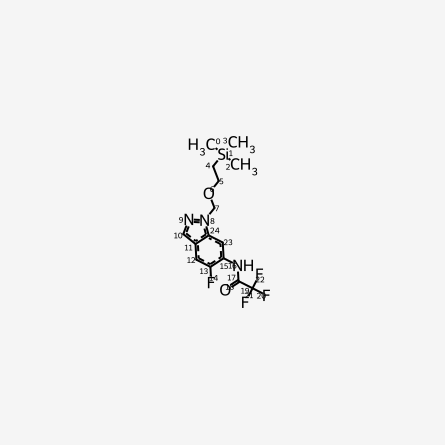 C[Si](C)(C)CCOCn1ncc2cc(F)c(NC(=O)C(F)(F)F)cc21